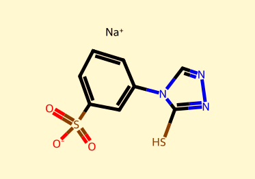 O=S(=O)([O-])c1cccc(-n2cnnc2S)c1.[Na+]